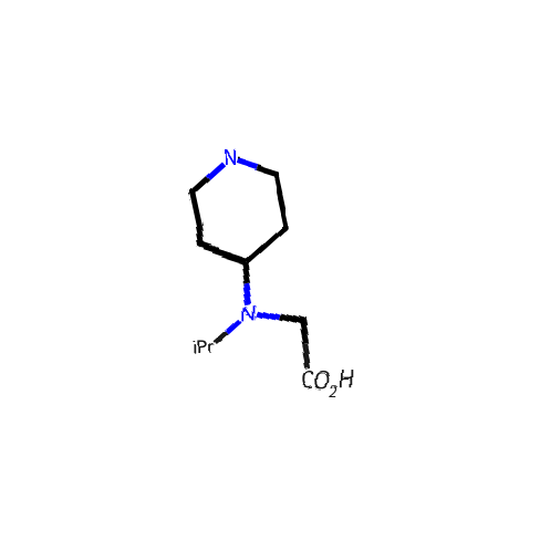 CC(C)N(CC(=O)O)C1CC[N]CC1